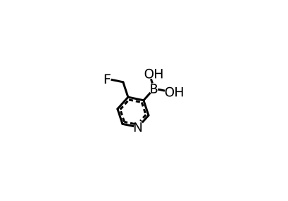 OB(O)c1cnccc1CF